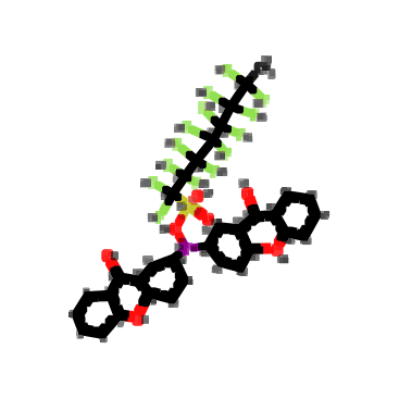 O=c1c2ccccc2oc2ccc([I+](OS(=O)(=O)C(F)(F)C(F)(F)C(F)(F)C(F)(F)C(F)(F)C(F)(F)C(F)(F)C(F)(F)F)c3ccc4oc5ccccc5c(=O)c4c3)cc12